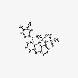 CS(=O)(=O)N(c1cccc(CC2CN(Cc3ccc(Cl)c(Cl)c3)CCO2)c1)S(C)(=O)=O